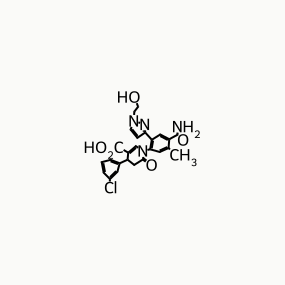 Cc1cc(N2C=C(C(=O)O)C(c3cccc(Cl)c3)CC2=O)c(-c2ccn(CCO)n2)cc1C(N)=O